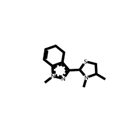 CC1CSC(c2nn(C)c3c2CCC=C3)N1C